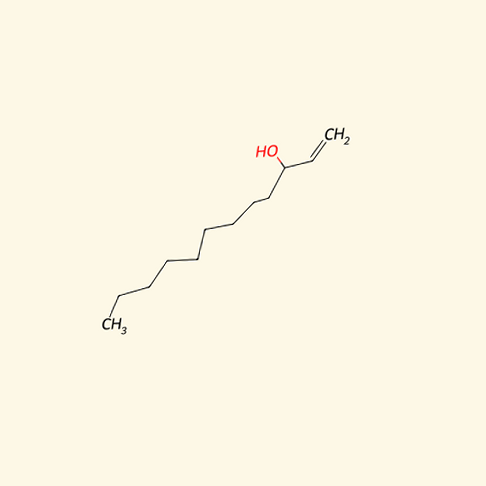 C=CC(O)CCCCCCCCC